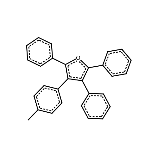 Cc1ccc(-c2c(-c3ccccc3)oc(-c3ccccc3)c2-c2ccccc2)cc1